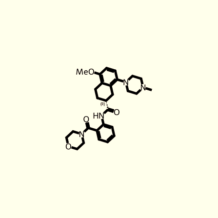 COc1ccc(N2CCN(C)CC2)c2c1CC[C@@H](C(=O)Nc1ccccc1C(=O)N1CCOCC1)C2